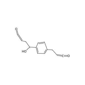 O=C=CC[C](O)c1ccc(CC=C=O)cc1